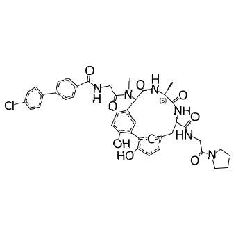 C[C@@H]1NC(=O)C(N(C)C(=O)CNC(=O)c2ccc(-c3ccc(Cl)cc3)cc2)c2ccc(O)c(c2)-c2cc(ccc2O)CC(C(=O)NCC(=O)N2CCCC2)NC1=O